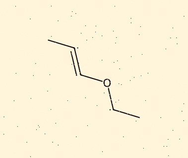 C/[C]=C/O[CH]C